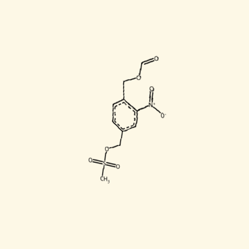 CS(=O)(=O)OCc1ccc(COC=O)c([N+](=O)[O-])c1